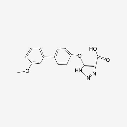 COc1cccc(-c2ccc(Oc3[nH]nnc3C(=O)O)cc2)c1